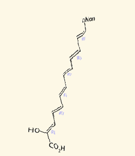 CCCCCCCCC/C=C/C=C/C=C/C=C/C=C/C=C(\O)C(=O)O